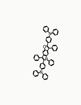 c1ccc(-c2c(-c3ccc(N(c4ccccc4)c4ccccc4)cc3)oc3cc4c(-c5ccccc5)c(-c5ccc(N(c6ccccc6)c6ccccc6)cc5)n(-c5ccccc5)c4cc23)cc1